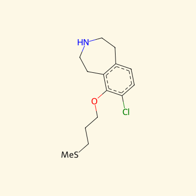 CSCCCOc1c(Cl)ccc2c1CCNCC2